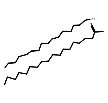 CCCCCCCCCCCCCCCCCC(C)=O.CCCCCCCCCCCCCCCCO